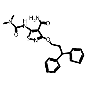 CN(C)C(=O)Nc1snc(OCCC(c2ccccc2)c2ccccc2)c1C(N)=O